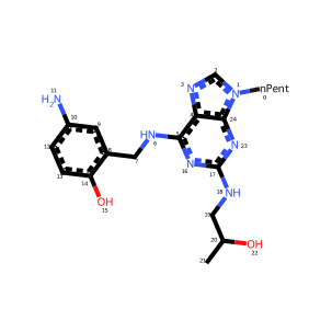 CCCCCn1cnc2c(NCc3cc(N)ccc3O)nc(NCC(C)O)nc21